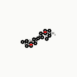 Cc1ccc2c(oc3ccccc32)c1N(c1ccc(-c2cccc3c2c2cccc4c5cc6c(cc5n3c42)c2cccc3c4c(-c5ccc(N(c7ccccc7-c7ccccc7)c7c(C)ccc8c7oc7ccccc78)cc5)cccc4n6c23)cc1)c1ccccc1-c1ccccc1